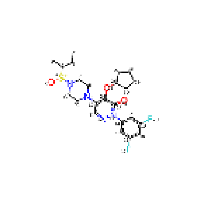 CCC(C)[S+]([O-])N1CCN(c2cnn(-c3cc(F)cc(F)c3)c(=O)c2OC2CCCC2)CC1